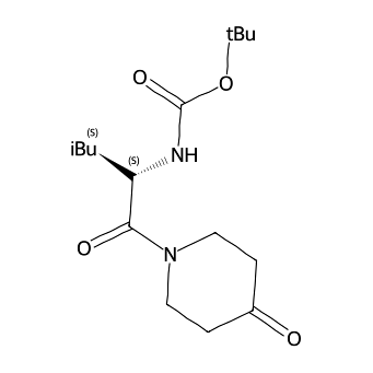 CC[C@H](C)[C@H](NC(=O)OC(C)(C)C)C(=O)N1CCC(=O)CC1